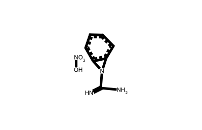 N=C(N)N1c2ccccc21.O=[N+]([O-])O